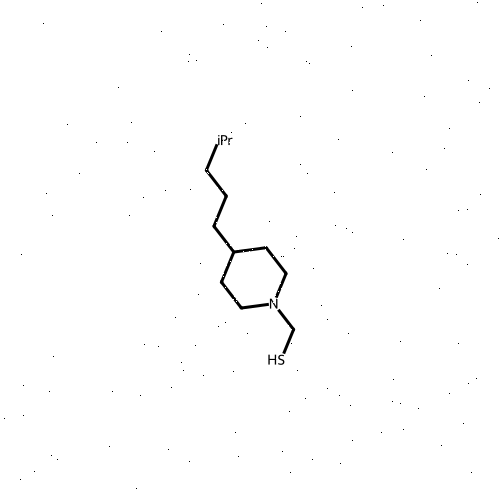 CC(C)CCCC1CCN(CS)CC1